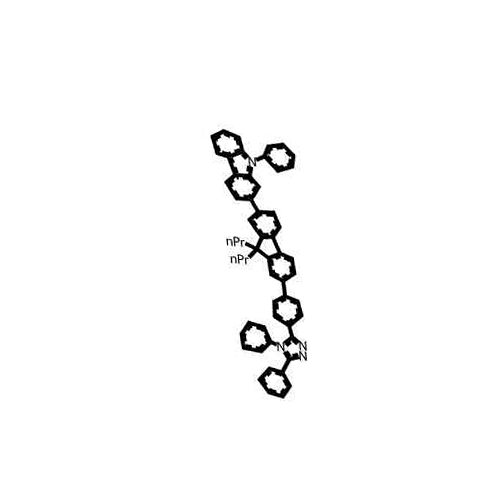 CCCC1(CCC)c2cc(-c3ccc(-c4nnc(-c5ccccc5)n4-c4ccccc4)cc3)ccc2-c2ccc(-c3ccc4c5ccccc5n(-c5ccccc5)c4c3)cc21